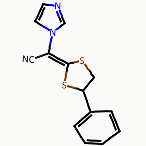 N#C/C(=C1/SCC(c2ccccc2)S1)n1ccnc1